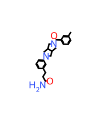 Cc1cccc(C(=O)N2CC3CN(c4cccc(CCC(N)=O)c4)CC3C2)c1